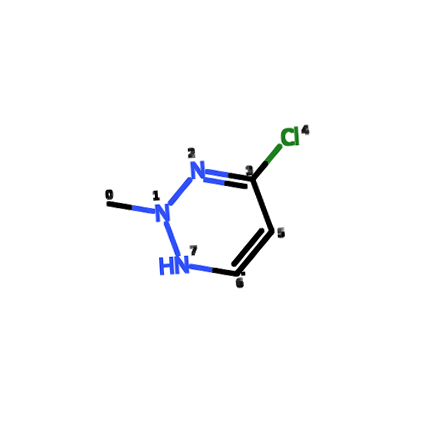 CN1N=C(Cl)C=[C]N1